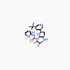 C[C@@H]1CNc2ccc(-c3cncc(C(C)(C)C)c3)nc2N(C(=O)Nc2ccccn2)[C@@H]1C